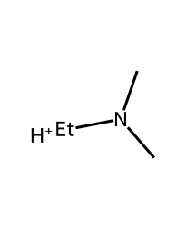 CCN(C)C.[H+]